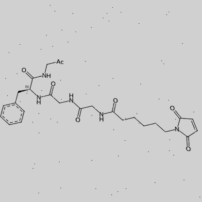 CC(=O)CNC(=O)[C@H](Cc1ccccc1)NC(=O)CNC(=O)CNC(=O)CCCCCN1C(=O)C=CC1=O